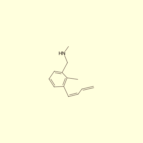 C=C/C=C\c1cccc(CNC)c1C